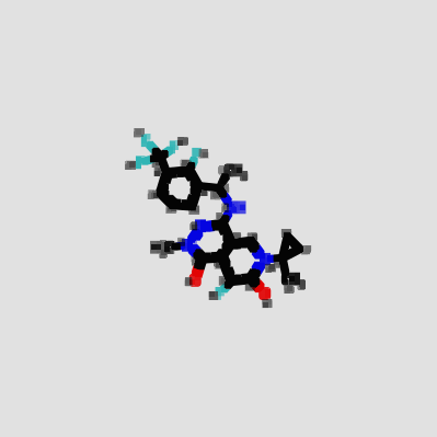 C[C@@H](Nc1nn(C)c(=O)c2c(F)c(=O)n(C3(C)CC3)cc12)c1cccc(C(F)(F)F)c1F